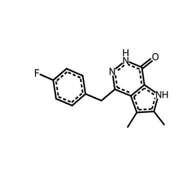 Cc1[nH]c2c(=O)[nH]nc(Cc3ccc(F)cc3)c2c1C